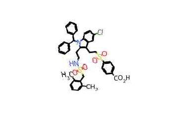 Cc1cccc(C)c1CS(=O)(=O)NCCc1c(CCS(=O)(=O)c2ccc(C(=O)O)cc2)c2cc(Cl)ccc2n1C(c1ccccc1)c1ccccc1